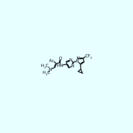 CC(=O)C(=CN(C)C)C(=O)Nc1cnc(-n2nc(C(F)(F)F)cc2C2CC2)nc1